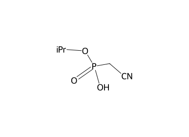 CC(C)OP(=O)(O)CC#N